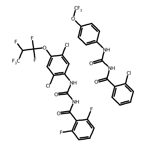 O=C(NC(=O)c1c(F)cccc1F)Nc1cc(Cl)c(OC(F)(F)C(F)C(F)(F)F)cc1Cl.O=C(NC(=O)c1ccccc1Cl)Nc1ccc(OC(F)(F)F)cc1